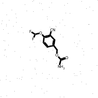 N#Cc1cc(COC(N)=O)ccc1OC(F)F